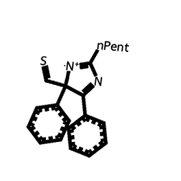 CCCCCC1=[N+]C(C=S)(c2ccccc2)C(c2ccccc2)=N1